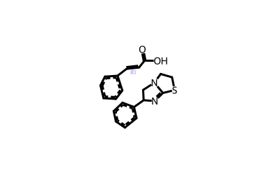 O=C(O)/C=C/c1ccccc1.c1ccc(C2CN3CCSC3=N2)cc1